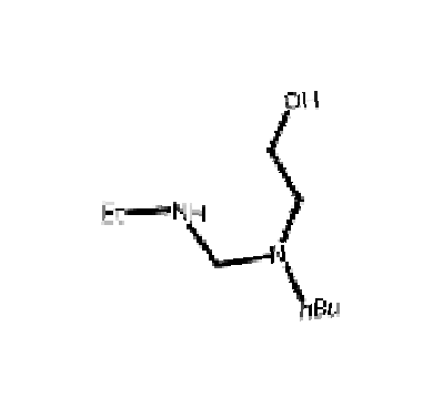 CCCCN(CCO)CNCC